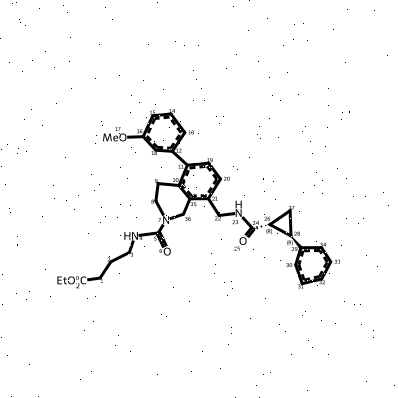 CCOC(=O)CCCNC(=O)N1CCc2c(-c3cccc(OC)c3)ccc(CNC(=O)[C@@H]3C[C@H]3c3ccccc3)c2C1